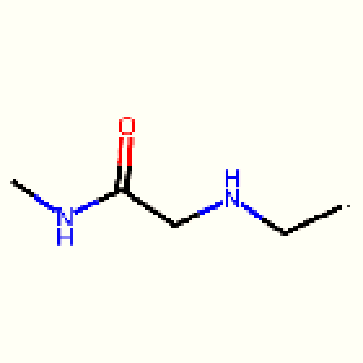 [CH2]CNCC(=O)NC